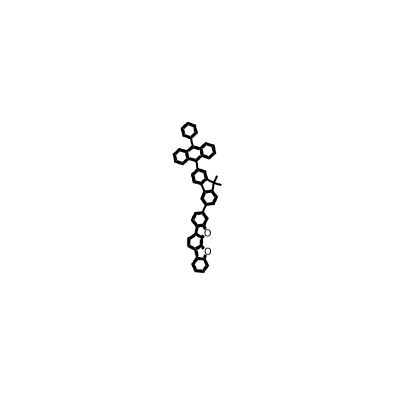 CC1(C)c2ccc(-c3ccc4c(c3)oc3c4ccc4c5ccccc5oc43)cc2-c2ccc(-c3c4ccccc4c(-c4ccccc4)c4ccccc34)cc21